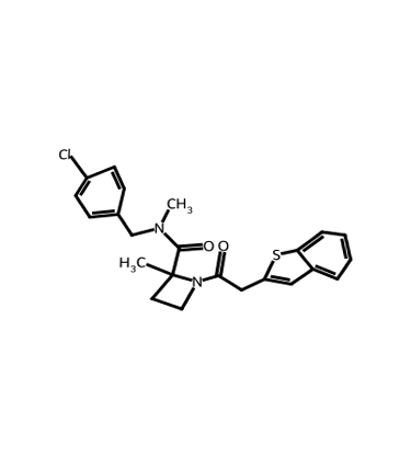 CN(Cc1ccc(Cl)cc1)C(=O)C1(C)CCN1C(=O)Cc1cc2ccccc2s1